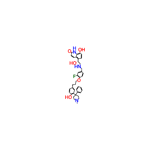 CN1CCC(c2ccccc2)(c2cc(CCCOc3ccc(CNC[C@H](O)c4ccc(O)c5[nH]c(=O)ccc45)cc3F)ccc2O)CC1